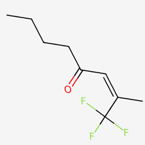 CCCCC(=O)/C=C(/C)C(F)(F)F